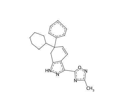 Cc1noc(-c2n[nH]c3c2C=CC(c2ccccc2)(C2CCCCC2)C3)n1